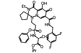 CCN1C(=O)c2c(O)c(=O)c(C(=O)NCc3ccc(F)cc3F)cn2N(CCP(=O)(N[C@@H](C)C(=O)OC(C)C)Oc2ccccc2)C12CCCC2